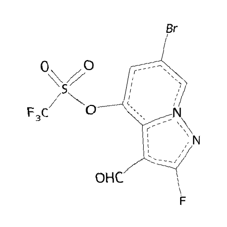 O=Cc1c(F)nn2cc(Br)cc(OS(=O)(=O)C(F)(F)F)c12